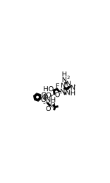 CNc1nc(N)nc2c1ncn2[C@@H]1O[C@H](CO[P@@](=O)(N[C@@H](C)C(=O)OC(C)C)Oc2ccccc2)[C@@H](O)[C@@H]1F